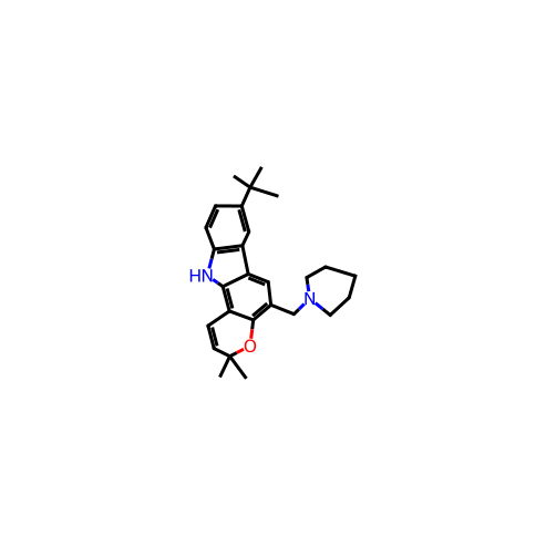 CC1(C)C=Cc2c(c(CN3CCCCC3)cc3c2[nH]c2ccc(C(C)(C)C)cc23)O1